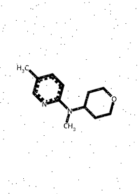 Cc1ccc(N(C)C2CCOCC2)nc1